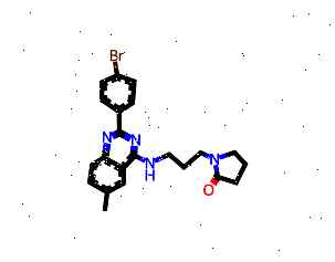 Cc1ccc2nc(-c3ccc(Br)cc3)nc(NCCCN3CCCC3=O)c2c1